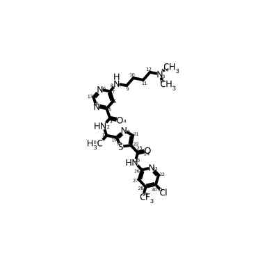 CC(NC(=O)c1cc(NCCCCN(C)C)ncn1)c1ncc(C(=O)Nc2cc(C(F)(F)F)c(Cl)cn2)s1